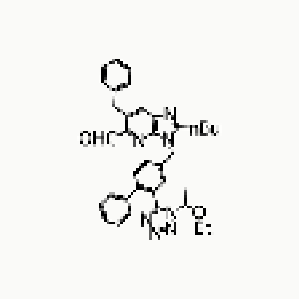 CCCCc1nc2cc(Cc3ccccc3)c(C=O)nc2n1Cc1ccc(-c2ccccc2)c(-c2nnnn2C(C)OCC)c1